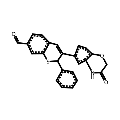 O=Cc1ccc2c(c1)SC(c1ccccc1)C(c1ccc3c(c1)NC(=O)CO3)=C2